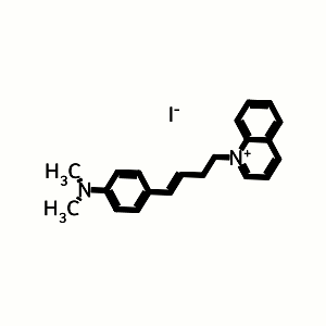 CN(C)c1ccc(C=CCC[n+]2cccc3ccccc32)cc1.[I-]